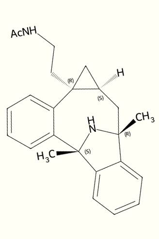 CC(=O)NCC[C@]12C[C@H]1C[C@@]1(C)N[C@@](C)(c3ccccc32)c2ccccc21